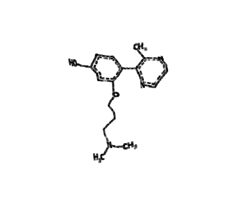 Cc1nccnc1-c1ccc(O)cc1OCCCN(C)C